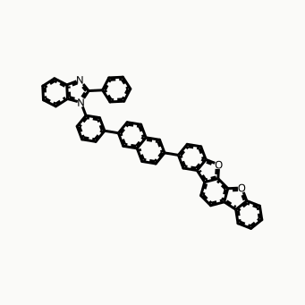 c1ccc(-c2nc3ccccc3n2-c2cccc(-c3ccc4cc(-c5ccc6oc7c(ccc8c9ccccc9oc87)c6c5)ccc4c3)c2)cc1